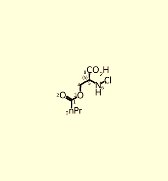 CCCC(=O)OC[C@H](NCl)C(=O)O